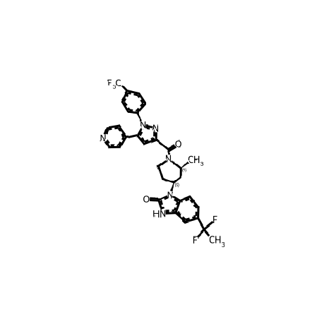 C[C@H]1C[C@@H](n2c(=O)[nH]c3cc(C(C)(F)F)ccc32)CCN1C(=O)c1cc(-c2ccncc2)n(-c2ccc(C(F)(F)F)cc2)n1